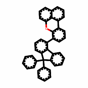 c1ccc(C2(c3ccccc3)c3ccccc3-c3c(-c4cccc5c4Oc4cccc6cccc-5c46)cccc32)cc1